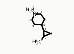 BN1CCC(C2CC2C)CC1